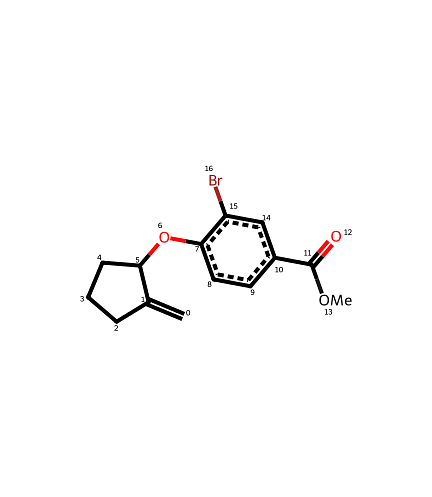 C=C1CCCC1Oc1ccc(C(=O)OC)cc1Br